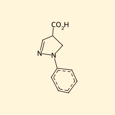 O=C(O)C1C=NN(c2ccccc2)C1